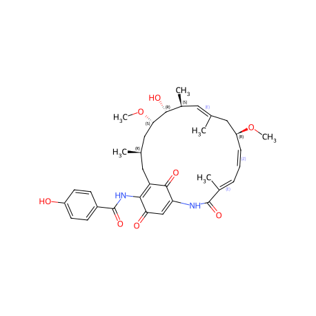 CO[C@H]1C[C@H](C)CC2=C(NC(=O)c3ccc(O)cc3)C(=O)C=C(NC(=O)/C(C)=C/C=C\[C@H](OC)C/C(C)=C/[C@H](C)[C@H]1O)C2=O